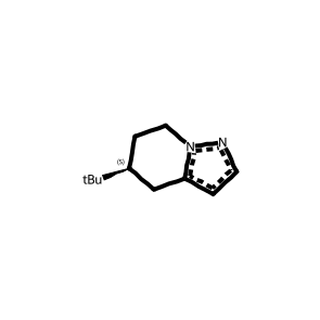 CC(C)(C)[C@H]1CCn2nccc2C1